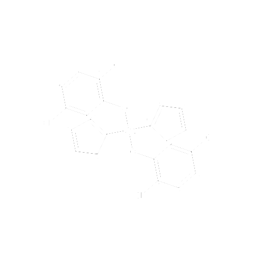 Clc1ccc(Cl)c([O][Zr]([O]c2cc(Cl)ccc2Cl)([C]2=CC=CC2)[C]2=CC=CC2)c1